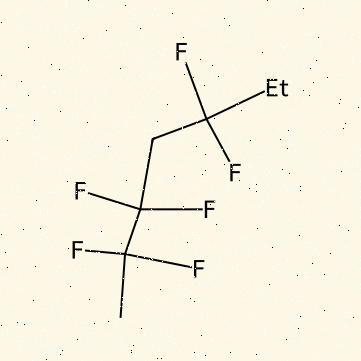 [CH2]CC(F)(F)CC(F)(F)C(C)(F)F